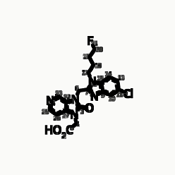 O=C(O)Cn1c(=O)n(Cc2nc3cc(Cl)ccc3n2CCCCF)c2cnccc21